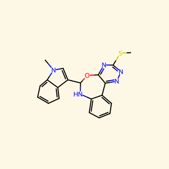 CSc1nnc2c(n1)OC(c1cn(C)c3ccccc13)Nc1ccccc1-2